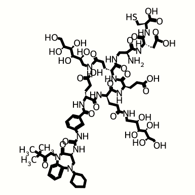 CC(C)(C)C(=O)CN1C(=O)[C@H](NC(=O)Nc2cccc(C(=O)N[C@H](CCC(=O)O)C(=O)N[C@H](CCC(=O)NC[C@H](O)[C@@H](O)[C@H](O)[C@H](O)CO)C(=O)N[C@H](CCC(=O)O)C(=O)N[C@H](CCC(=O)NC[C@H](O)[C@@H](O)[C@H](O)[C@H](O)CO)C(=O)NC[C@H](N)C(=O)N[C@@H](CC(=O)O)C(=O)N[C@@H](CS)C(=O)O)c2)CN(C2CCCCC2)c2ccccc21